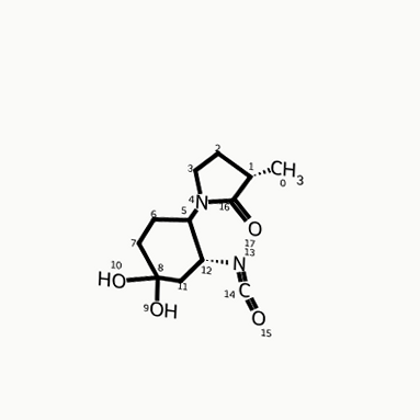 C[C@H]1CCN(C2CCC(O)(O)C[C@H]2N=C=O)C1=O